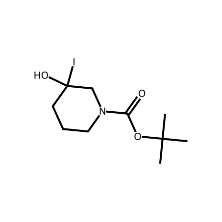 CC(C)(C)OC(=O)N1CCCC(O)(I)C1